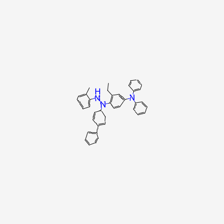 CCc1cc(N(c2ccccc2)c2ccccc2)ccc1N(Nc1ccccc1C)C1C=CC(c2ccccc2)=CC1